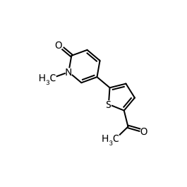 CC(=O)c1ccc(-c2ccc(=O)n(C)c2)s1